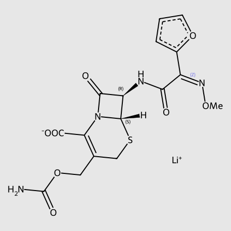 CO/N=C(\C(=O)N[C@@H]1C(=O)N2C(C(=O)[O-])=C(COC(N)=O)CS[C@@H]12)c1ccco1.[Li+]